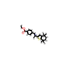 CCOC(=O)c1ccc(/C=C(\C)c2cc3c(s2)C(C)(C)CCC3(C)C)cc1